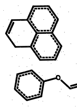 C1=Cc2cccc3cccc(c23)C1.C=COc1ccccc1